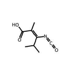 C/C(C(=O)O)=C(\N=C=O)C(C)C